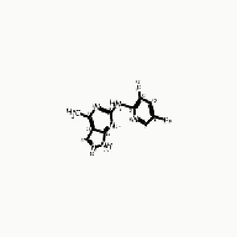 Cc1nc(Nc2ncc(F)cc2F)nc2[nH]ncc12